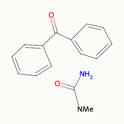 CNC(N)=O.O=C(c1ccccc1)c1ccccc1